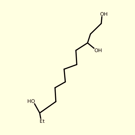 CCC(O)CCCCCCC(O)CCO